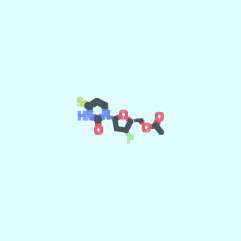 CC(=O)OC[C@H]1O[C@@H](n2ccc(=S)[nH]c2=O)C[C@@H]1F